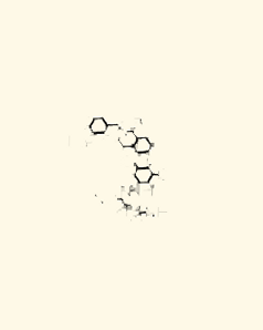 N#CC(=NNc1cc(Cl)c(Oc2ccc3c(c2)CCN(Cc2cccc(C(F)(F)F)c2)C3=O)c(Cl)c1)C(=O)OC(N)=O